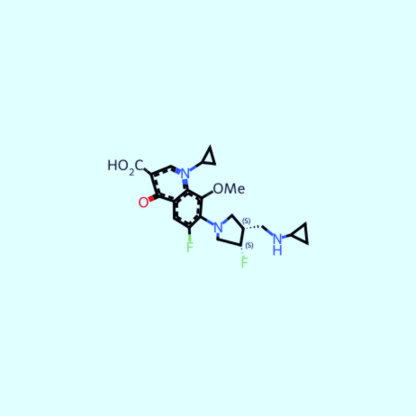 COc1c(N2C[C@H](CNC3CC3)[C@H](F)C2)c(F)cc2c(=O)c(C(=O)O)cn(C3CC3)c12